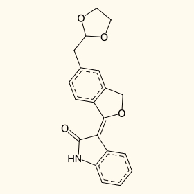 O=C1Nc2ccccc2/C1=C1\OCc2cc(CC3OCCO3)ccc21